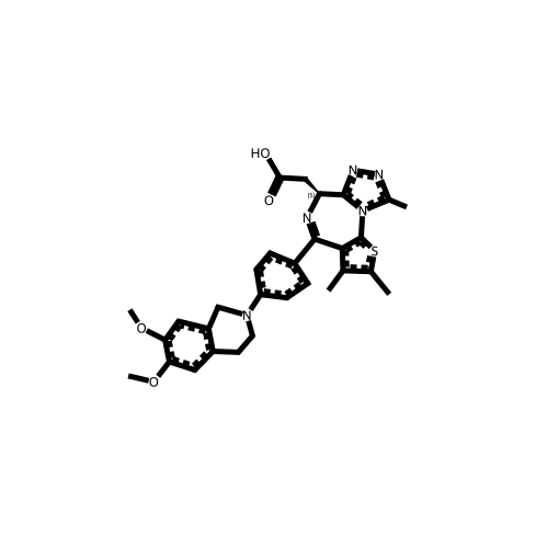 COc1cc2c(cc1OC)CN(c1ccc(C3=N[C@@H](CC(=O)O)c4nnc(C)n4-c4sc(C)c(C)c43)cc1)CC2